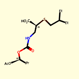 CCC(CC)CS[C@@H](CNC(=O)O[C@H](OC(C)=O)C(C)C)C(=O)O